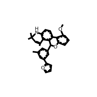 COc1cccc2c1-c1ccc3c(c1C(c1cc(C)cc(-c4ccco4)c1)O2)C(C)=CC(C)(C)N3